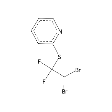 FC(F)(Sc1ccccn1)C(Br)Br